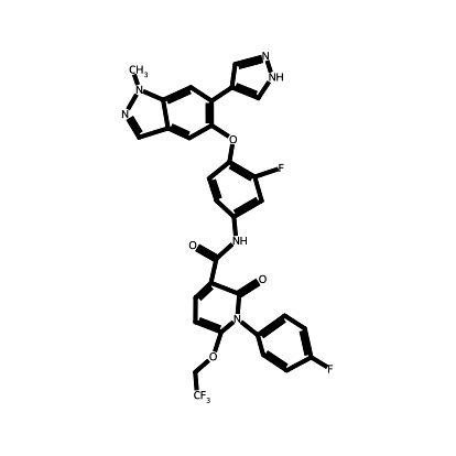 Cn1ncc2cc(Oc3ccc(NC(=O)c4ccc(OCC(F)(F)F)n(-c5ccc(F)cc5)c4=O)cc3F)c(-c3cn[nH]c3)cc21